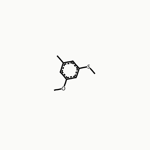 COc1cc(C)cc(SC)c1